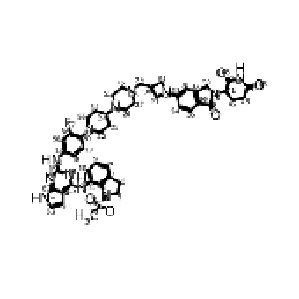 CS(=O)(=O)N1CCc2cccc(Nc3nc(Nc4ccc(N5CCC(N6CCN(CC7CN(c8ccc9c(c8)CN(C8CCC(=O)NC8=O)C9=O)C7)CC6)CC5)c(F)c4)nc4[nH]ccc34)c21